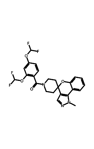 Cn1ncc2c1-c1ccccc1OC21CCN(C(=O)c2ccc(OC(F)F)cc2OC(F)F)CC1